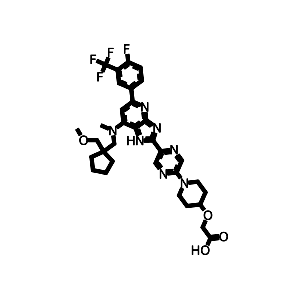 COCC1(CN(C)c2cc(-c3ccc(F)c(C(F)(F)F)c3)nc3nc(-c4cnc(N5CCC(OCC(=O)O)CC5)cn4)[nH]c23)CCCC1